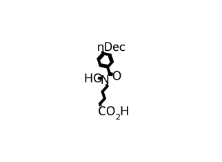 CCCCCCCCCCc1ccc(C(=O)N(O)CCCCC(=O)O)cc1